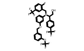 OCC(c1ccc(C(F)(F)F)cc1)N(Cc1cc(C(F)(F)F)ccc1F)c1cccc(OCc2cccc(OC(F)(F)F)c2)c1